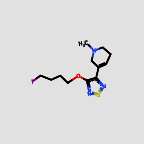 CN1CCC=C(c2nsnc2OCCCCI)C1